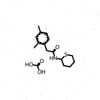 Cc1ccc(CC(=O)NC2CCCCS2)c(C)c1.O=C(O)O